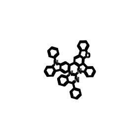 c1ccc(-c2nc(-n3c4ccccc4c4c5oc6ccccc6c5cc(-c5ccc6c7ccccc7n(-c7ccccc7)c6c5)c43)nc3ccccc23)cc1